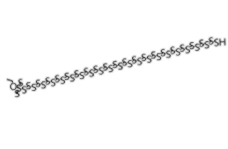 CCOS(=S)(=S)SSSSSSSSSSSSSSSSSSSSSSSSSSSSSSSSSSSSSSSSS